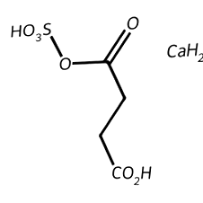 O=C(O)CCC(=O)OS(=O)(=O)O.[CaH2]